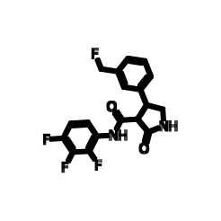 O=C1NCC(c2cccc(CF)c2)C1C(=O)Nc1ccc(F)c(F)c1F